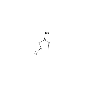 CC(=O)C1COC(C(C)(C)C)C1